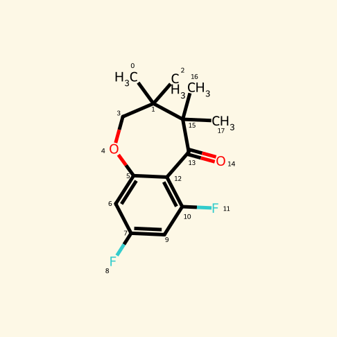 CC1(C)COc2cc(F)cc(F)c2C(=O)C1(C)C